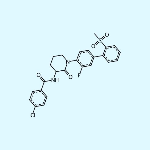 CS(=O)(=O)c1ccccc1-c1ccc(N2CCCC(NC(=O)c3ccc(Cl)cc3)C2=O)c(F)c1